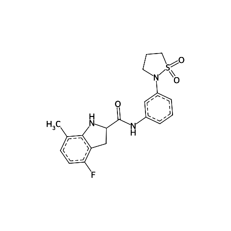 Cc1ccc(F)c2c1NC(C(=O)Nc1cccc(N3CCCS3(=O)=O)c1)C2